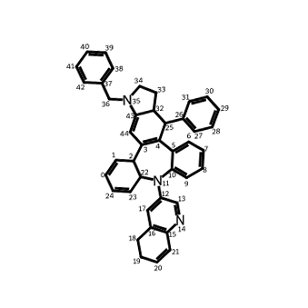 C1=CC2C3=C(c4ccccc4N(c4cnc5c(c4)CCC=C5)C2C=C1)C(c1ccccc1)C1CCN(Cc2ccccc2)C1=C3